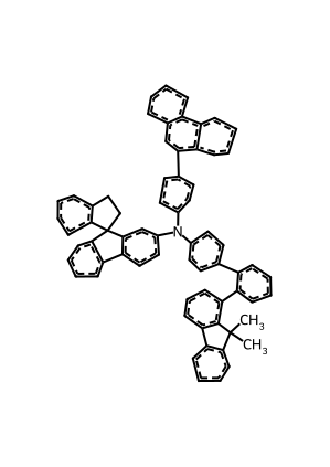 CC1(C)c2ccccc2-c2cccc(-c3ccccc3-c3ccc(N(c4ccc(-c5cc6ccccc6c6ccccc56)cc4)c4ccc5c(c4)C4(CCc6ccccc64)c4ccccc4-5)cc3)c21